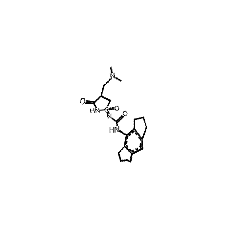 CN(C)CC1CS(=O)(=NC(=O)Nc2c3c(cc4c2CCC4)CCC3)NC1=O